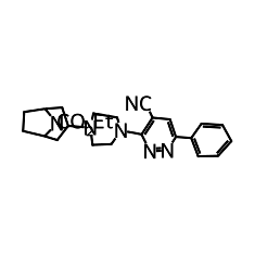 CCOC(=O)N1C2CCC1CC(N1CCN(c3nnc(-c4ccccc4)cc3C#N)CC1)C2